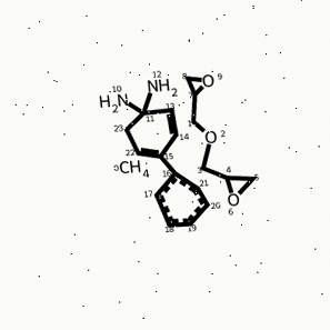 C.C(OCC1CO1)C1CO1.NC1(N)C=CC(c2ccccc2)=CC1